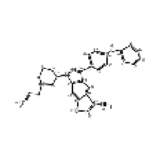 C=CCN1CCCC(n2nc(-c3ccc(Oc4ccccc4)cc3)c3cc4c(N)noc4cc32)C1